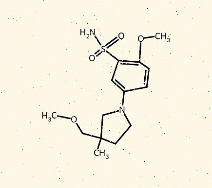 COCC1(C)CCN(c2ccc(OC)c(S(N)(=O)=O)c2)C1